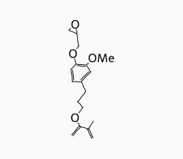 C=C(C)C(=C)OCCCc1ccc(OCC2CO2)c(OC)c1